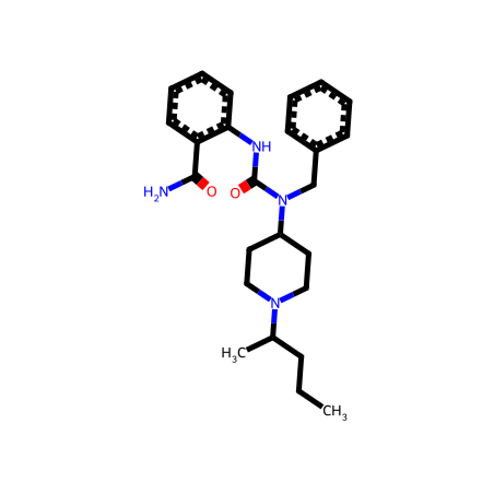 CCCC(C)N1CCC(N(Cc2ccccc2)C(=O)Nc2ccccc2C(N)=O)CC1